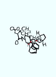 Cc1nc2ccccc2n1[C@H]1C[C@H]2CC[C@@H](C1)N2CCC1(c2ccccc2)CCN(C(=O)C2CC(=O)OC2(C)C)CC1